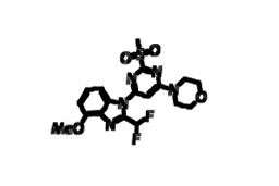 COc1cccc2c1nc(C(F)F)n2-c1cc(N2CCOCC2)nc(S(C)(=O)=O)n1